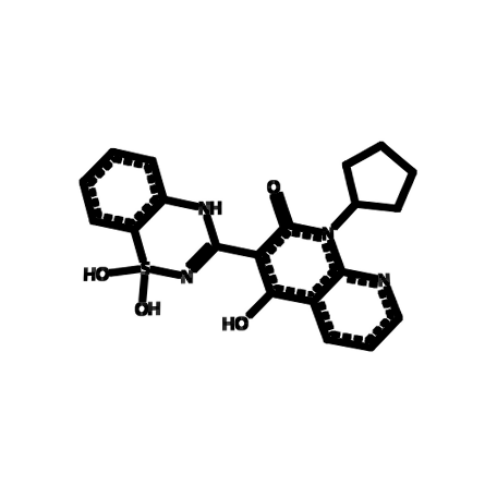 O=c1c(C2=NS(O)(O)c3ccccc3N2)c(O)c2cccnc2n1C1CCCC1